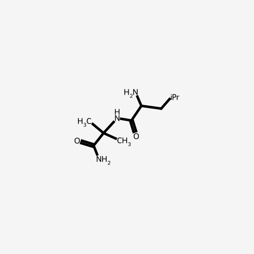 CC(C)CC(N)C(=O)NC(C)(C)C(N)=O